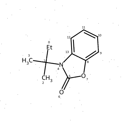 CCC(C)(C)n1c(=O)oc2ccccc21